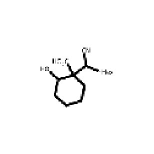 CCCCCCC(C#N)C1(C(=O)O)CCCCC1O